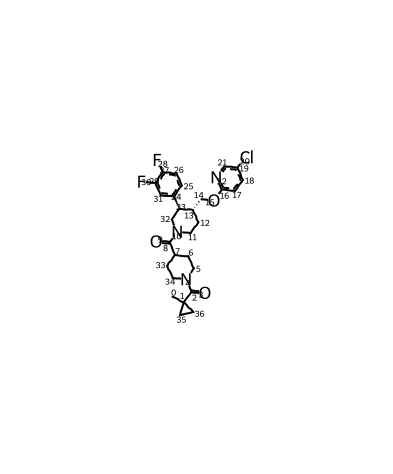 CC1(C(=O)N2CCC(C(=O)N3CC[C@@H](COc4ccc(Cl)cn4)[C@H](c4ccc(F)c(F)c4)C3)CC2)CC1